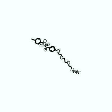 Cc1ccc(C(=O)NS(=O)(=O)c2ccc(OCCOCCOCCN=[N+]=[N-])cc2)cc1